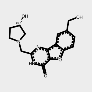 O=c1[nH]c(CN2CC[C@H](O)C2)nc2c1oc1ccc(CO)cc12